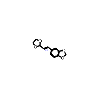 C(=C\C1OCCO1)/c1ccc2c(c1)OCO2